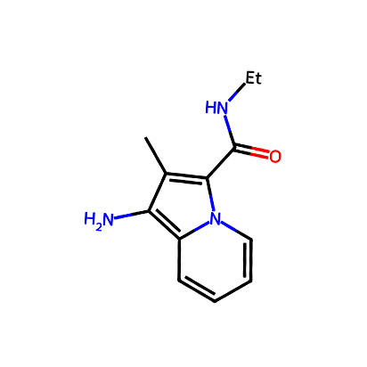 CCNC(=O)c1c(C)c(N)c2ccccn12